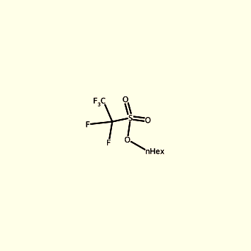 CCCCCCOS(=O)(=O)C(F)(F)C(F)(F)F